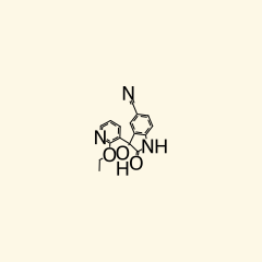 CCOc1ncccc1C1(O)C(=O)Nc2ccc(C#N)cc21